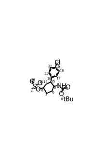 CC(C)(C)OC(=O)NC1CCC(OS(C)(=O)=O)CC1c1ccc(Cl)cc1